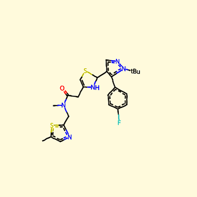 Cc1cnc(CN(C)C(=O)CC2=CSC(c3cnn(C(C)(C)C)c3-c3ccc(F)cc3)N2)s1